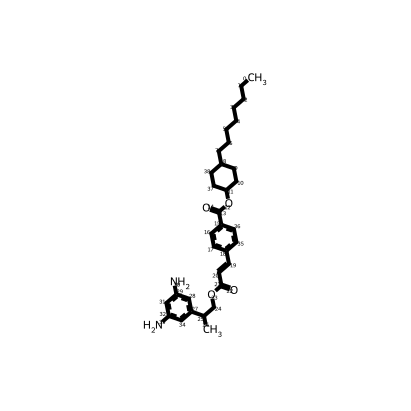 CCCCCCCCC1CCC(OC(=O)c2ccc(/C=C/C(=O)OCC(C)c3cc(N)cc(N)c3)cc2)CC1